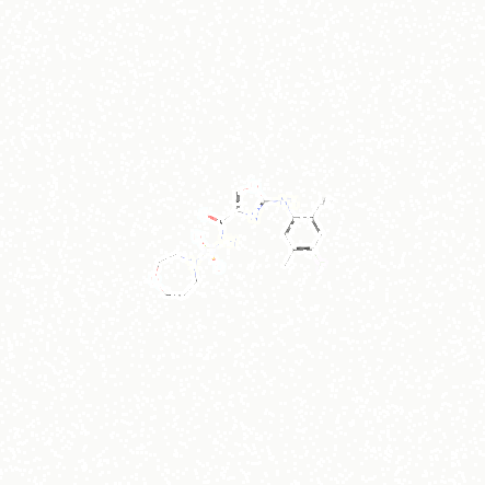 Cc1cc(Nc2nc(C(=O)NS(=O)(=O)N3CCCOCC3)co2)c(C(C)C)cc1F